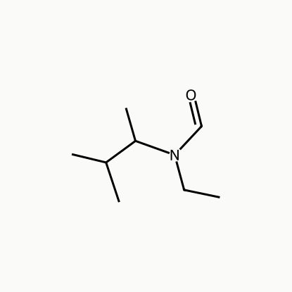 CCN(C=O)C(C)C(C)C